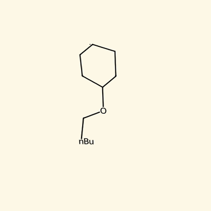 CCCCCOC1CC[CH]CC1